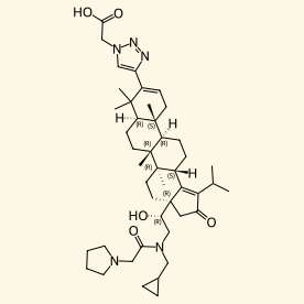 CC(C)C1=C2[C@H]3CC[C@@H]4[C@@]5(C)CC=C(c6cn(CC(=O)O)nn6)C(C)(C)[C@@H]5CC[C@@]4(C)[C@]3(C)CC[C@@]2([C@@H](O)CN(CC2CC2)C(=O)CN2CCCC2)CC1=O